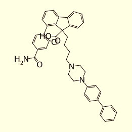 NC(=O)c1ccc(-c2cccc3c2C(CCCCN2CCN(c4ccc(-c5ccccc5)cc4)CC2)(C(=O)O)c2ccccc2-3)c(Cl)c1